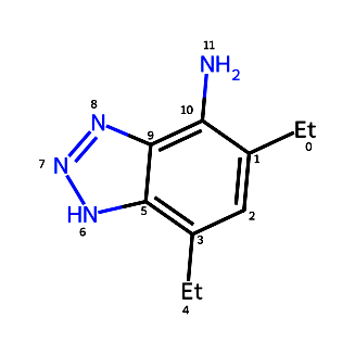 CCc1cc(CC)c2[nH]nnc2c1N